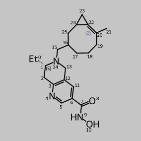 CC[C@H]1Cc2ncc(C(=O)NO)cc2CN1CC1CCC/C(C)=C2/CC2C1